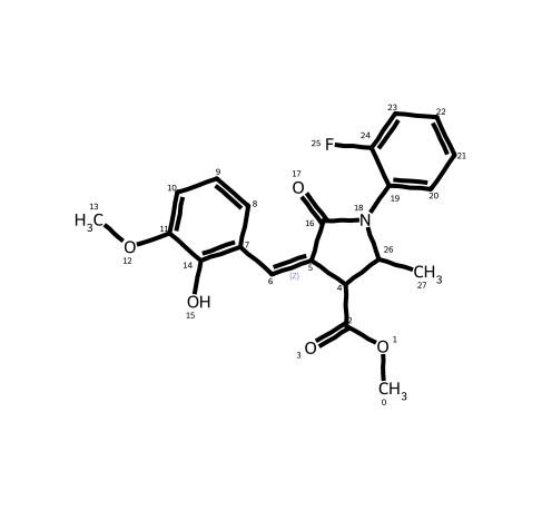 COC(=O)C1/C(=C/c2cccc(OC)c2O)C(=O)N(c2ccccc2F)C1C